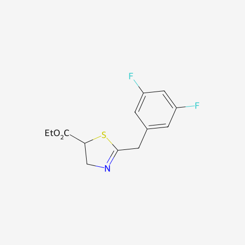 CCOC(=O)C1CN=C(Cc2cc(F)cc(F)c2)S1